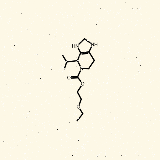 CCOCCOC(=O)N1CCC2=C(NCN2)C1C(C)C